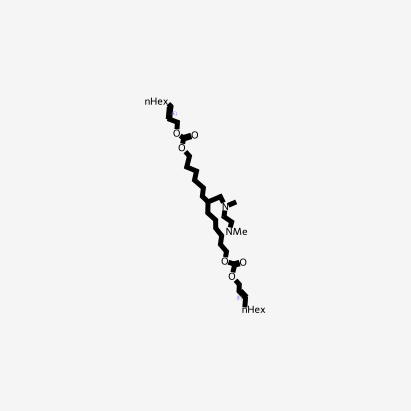 CCCCCC/C=C/COC(=O)OCCCCCCC(CCCCCCOC(=O)OC/C=C/CCCCCC)CN(C)CCNC